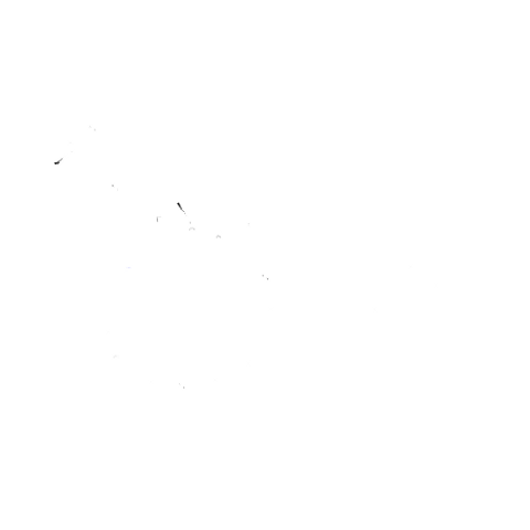 CO[C@]1(CN2CCN3CCC[C@H]3C2)/C=C/CC(C)[C@@H](C)S(=O)(=O)NC(=O)c2ccc3c(c2)N(CCCCc2cc(Cl)ccc2CO3)C[C@@H]2CC[C@H]21